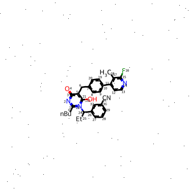 CCCCc1nc(=O)c(Cc2ccc(-c3ccnc(F)c3C)cc2)c(O)n1C(CC)c1cccc(C#N)c1